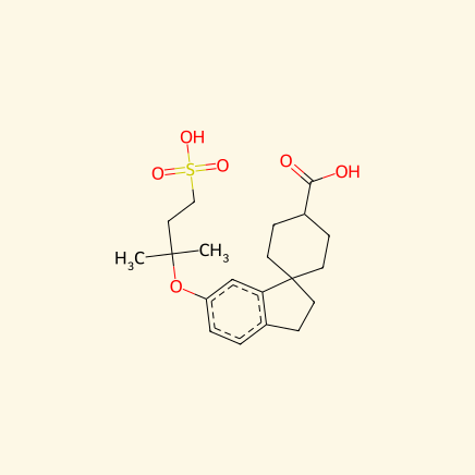 CC(C)(CCS(=O)(=O)O)Oc1ccc2c(c1)C1(CC2)CCC(C(=O)O)CC1